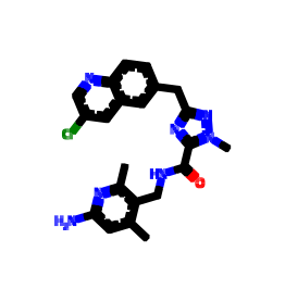 Cc1cc(N)nc(C)c1CNC(=O)c1nc(Cc2ccc3ncc(Cl)cc3c2)nn1C